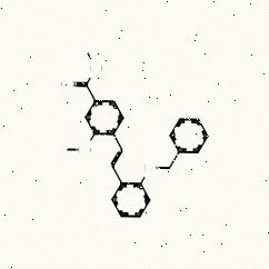 COC(=O)c1ccc(/C=C/c2ccccc2OCc2ccccc2)c(OC)c1